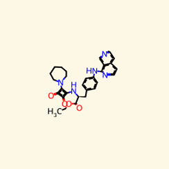 CCOC(=O)[C@H](Cc1ccc(Nc2nccc3ccncc23)cc1)Nc1c(N2CCCCCC2)c(=O)c1=O